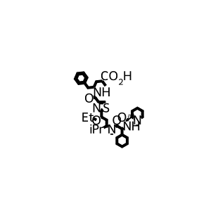 CCOC(CC(C(C)C)N(C)C(=O)C(NC(=O)[C@H]1CCCCN1C)C1CCCCC1)c1nc(C(=O)NC(Cc2ccccc2)CC(C)C(=O)O)cs1